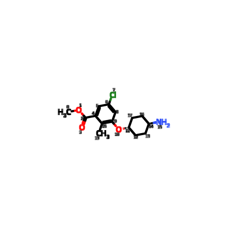 COC(=O)c1cc(Cl)cc(O[C@H]2CC[C@H](N)CC2)c1C